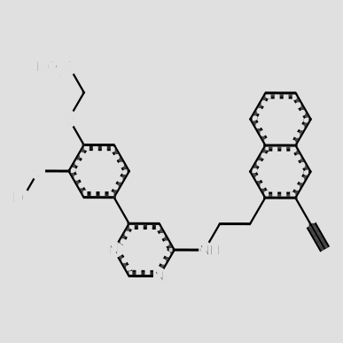 C#Cc1cc2ccccc2cc1CCNc1cc(-c2ccc(OCC(=O)O)c(OCC)c2)ncn1